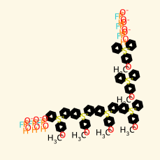 COc1ccc([S+](c2ccccc2)c2ccccc2)cc1.COc1ccc([S+](c2ccccc2)c2ccccc2)cc1.COc1ccc([S+](c2ccccc2)c2ccccc2)cc1.COc1ccc([S+](c2ccccc2)c2ccccc2)cc1.COc1ccc([S+](c2ccccc2)c2ccccc2)cc1.COc1ccc([S+](c2ccccc2)c2ccccc2)cc1.O=[PH]([O-])F.O=[PH]([O-])F.O=[PH]([O-])F.O=[PH]([O-])F.O=[PH]([O-])F.O=[PH]([O-])F